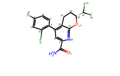 NC(=O)c1cc(-c2ccc(F)cc2F)c2c(n1)O[C@@H](C(F)F)CC2